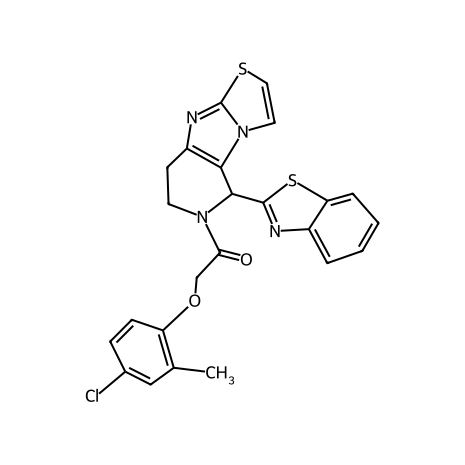 Cc1cc(Cl)ccc1OCC(=O)N1CCc2nc3sccn3c2C1c1nc2ccccc2s1